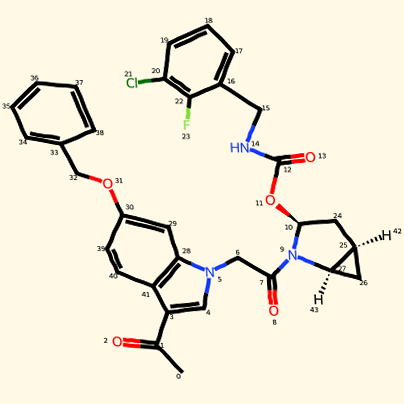 CC(=O)c1cn(CC(=O)N2[C@@H](OC(=O)NCc3cccc(Cl)c3F)C[C@H]3C[C@H]32)c2cc(OCc3ccccc3)ccc12